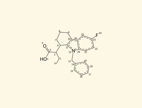 CCC(C(=O)O)C1CCCc2c1n(Cc1ccccc1)c1ccc(F)cc21